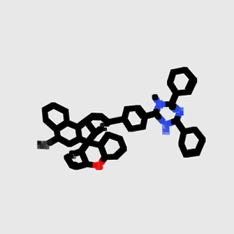 CN1C(C2C=CCCC2)=NC(C2CC=CCC2)NC1C1=CCC(C2C=CC3C4C5CCCCC5C(C#N)CC4C4(C5CCC=CC5OC5CCCCC54)C3C2)CC1